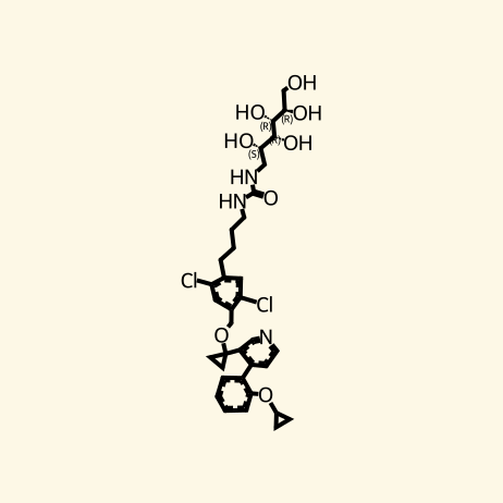 O=C(NCCCCc1cc(Cl)c(COC2(c3cnccc3-c3ccccc3OC3CC3)CC2)cc1Cl)NC[C@H](O)[C@@H](O)[C@H](O)[C@H](O)CO